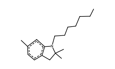 CCCCCCCN1c2cc(C)ccc2CC1(C)C